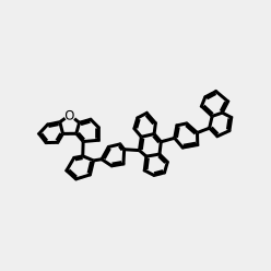 c1ccc(-c2cccc3oc4ccccc4c23)c(-c2ccc(-c3c4ccccc4c(-c4ccc(-c5cccc6ccccc56)cc4)c4ccccc34)cc2)c1